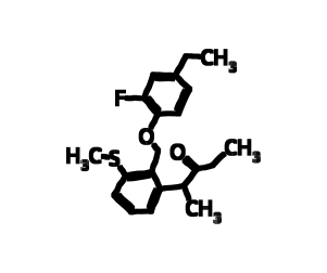 CCC(=O)C(C)c1cccc(SC)c1COc1ccc(CC)cc1F